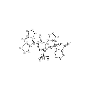 N#Cc1ccccc1S(=O)(=O)N1CCCC1C(=CN[SH](=O)=O)C(=O)Nc1c2c(cc3c1CCC3)CCC2